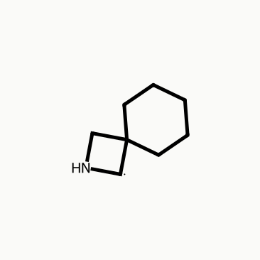 [CH]1NCC12CCCCC2